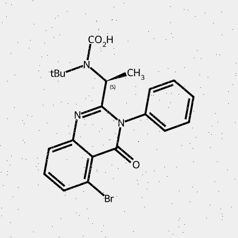 C[C@@H](c1nc2cccc(Br)c2c(=O)n1-c1ccccc1)N(C(=O)O)C(C)(C)C